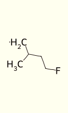 [CH2]C(C)CCF